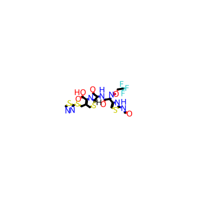 O=CNc1nc(C(=NOCC(F)(F)F)C(=O)NC2C(=O)N3C(C(=O)O)=C(CSc4nncs4)CS[C@@H]23)cs1